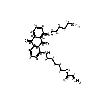 C=CC(=O)OCCCCCNC1=CC=CC2C(=O)c3cccc(NCCCCCC)c3C(=O)C12